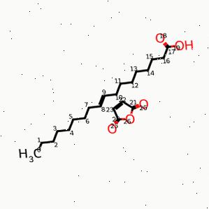 CCCCCCCCC=CCCCCCCCC(=O)O.O=C1C=CC(=O)O1